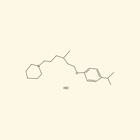 CC(CCCN1CCCCC1)CCOc1ccc(C(C)C)cc1.Cl